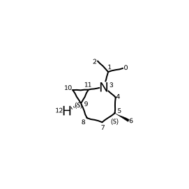 CC(C)N1C[C@@H](C)CC[C@H]2CC21